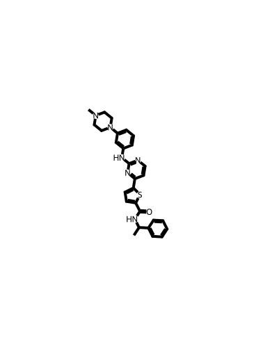 CC(NC(=O)c1ccc(-c2ccnc(Nc3cccc(N4CCN(C)CC4)c3)n2)s1)c1ccccc1